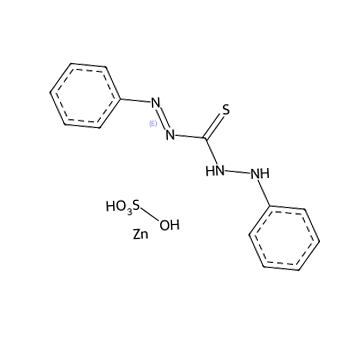 O=S(=O)(O)O.S=C(/N=N/c1ccccc1)NNc1ccccc1.[Zn]